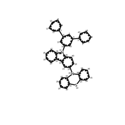 c1ccc(-c2cc(-c3ccccc3)cc(-n3c4ccccc4c4cc(N5c6ccccc6Sc6ccccc65)ccc43)c2)cc1